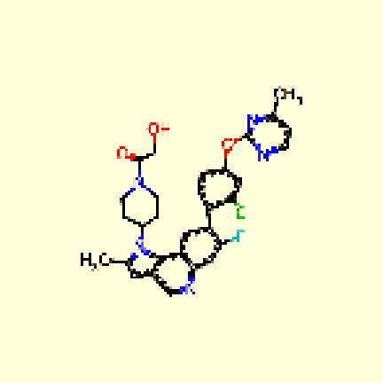 Cc1ccnc(Oc2ccc(-c3cc4c(cc3F)ncc3cc(C)n(C5CCN(C(=O)CO)CC5)c34)c(Cl)c2)n1